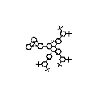 CC(C)(C)c1cc(-c2ccc(N3c4cc(-c5cc(C(C)(C)C)cc(C(C)(C)C)c5)ccc4B4c5ccc(-c6cc(C(C)(C)C)cc(C(C)(C)C)c6)cc5Oc5cc(-c6ccc7c(c6)c6cccc8c9ccccc9n7c86)cc3c54)cc2)cc(C(C)(C)C)c1